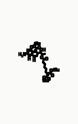 CC(OC(=O)CCCCCN(C(=O)OC(C)(C)C)C(=O)OC(C)(C)C)C(O)C1CNc2[nH]c(N)nc(=O)c2N1C(=O)OC(C)(C)C